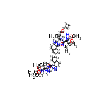 C=C=CCCN(Cc1nc2ccc3cc(-c4ccc5c(ccc6nc([C@@H]7C(=C)[C@@H](COCC8CCC8)CN7C(=O)[C@@H](NC(=O)OC)C(C)C)[nH]c65)c4)ccc3c2[nH]1)C(=O)[C@@H](NC(=O)OC)C(C)C